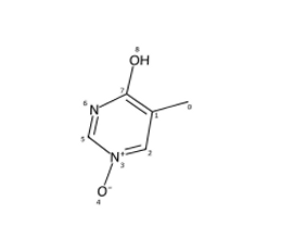 Cc1c[n+]([O-])cnc1O